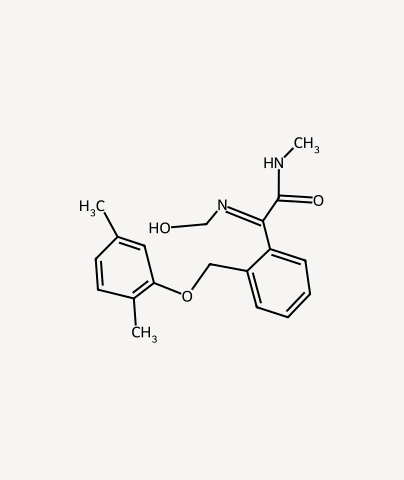 CNC(=O)/C(=N/CO)c1ccccc1COc1cc(C)ccc1C